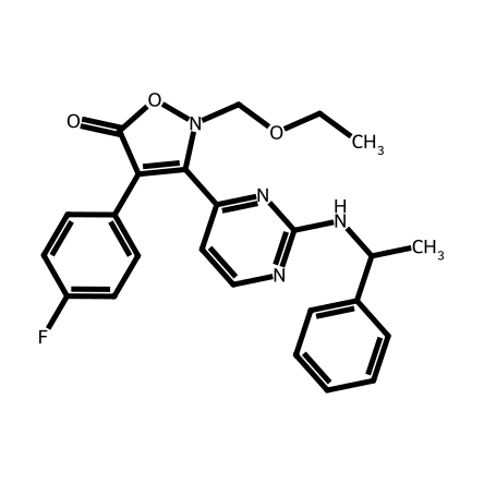 CCOCn1oc(=O)c(-c2ccc(F)cc2)c1-c1ccnc(NC(C)c2ccccc2)n1